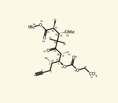 C#CC[C@H](C)[C@H](OC(=O)OCC(Cl)(Cl)Cl)[C@@H](C)C(=O)C(C)(C)[C@@H](OC)[C@H](C)C(=O)OC(C)(C)C